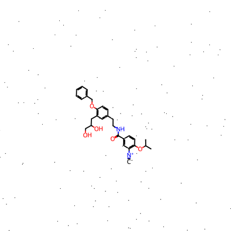 [C-]#[N+]c1cc(C(=O)NCCc2ccc(OCc3ccccc3)c(CC(O)CO)c2)ccc1OC(C)C